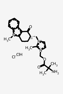 Cc1n(COC(=O)C(C)(C)N)cc[n+]1C[C@@H]1CCc2c(c3ccccc3n2C)C1=O.Cl.[Cl-]